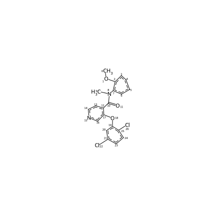 COc1ccccc1N(C)C(=O)c1ccncc1Oc1cc(Cl)ccc1Cl